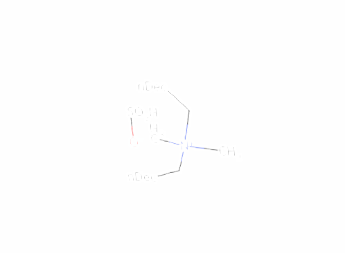 CCCCCCCCCCC[N+](C)(C)CCCCCCCCCCC.O=S(=O)([O-])O